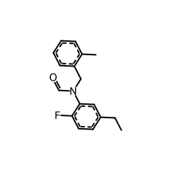 CCc1ccc(F)c(N(C=O)Cc2ccccc2C)c1